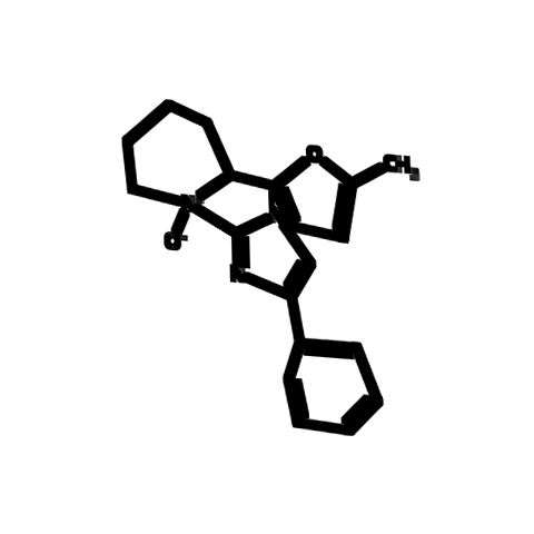 Cc1ccc(C2CCCC[N+]2([O-])c2nc(-c3ccccc3)c[nH]2)o1